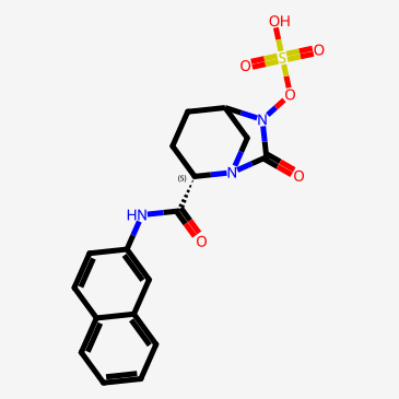 O=C(Nc1ccc2ccccc2c1)[C@@H]1CCC2CN1C(=O)N2OS(=O)(=O)O